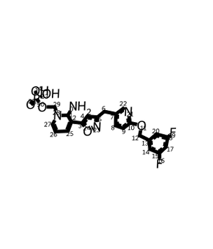 NC1C(c2cc(Cc3ccc(OCc4cc(F)cc(F)c4)nc3)no2)=CC=CN1COP(=O)(O)O